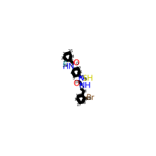 O=C(Nc1ccc(N(S)C(=O)NCCc2ccccc2Br)cc1)c1ccccc1F